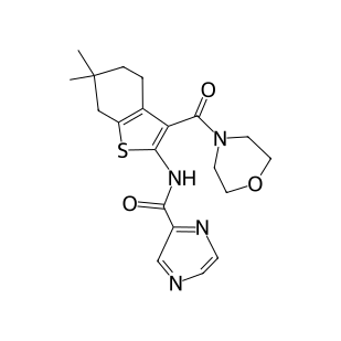 CC1(C)CCc2c(sc(NC(=O)c3cnccn3)c2C(=O)N2CCOCC2)C1